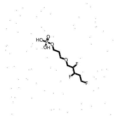 O=P(O)(O)OCCCOCC(F)C(F)CCF